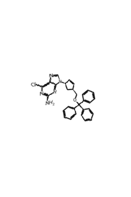 Nc1nc(Cl)c2ncn([C@H]3C=C[C@@H](COC(c4ccccc4)(c4ccccc4)c4ccccc4)C3)c2n1